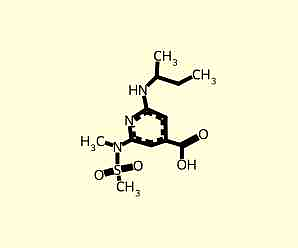 CCC(C)Nc1cc(C(=O)O)cc(N(C)S(C)(=O)=O)n1